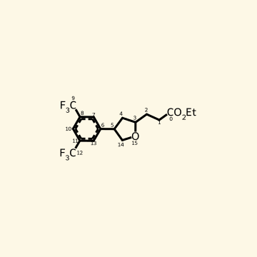 CCOC(=O)CCC1CC(c2cc(C(F)(F)F)cc(C(F)(F)F)c2)CO1